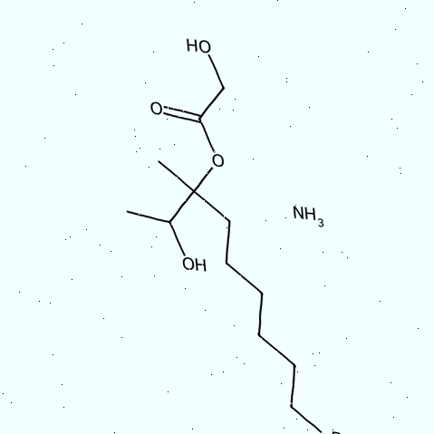 CCCCCCCCCCCCCCCCC(C)(OC(=O)CO)C(C)O.N